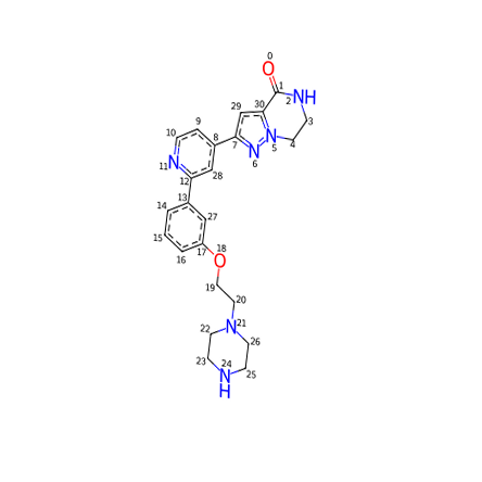 O=C1NCCn2nc(-c3ccnc(-c4cccc(OCCN5CCNCC5)c4)c3)cc21